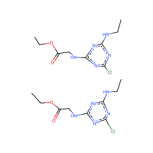 CCNc1nc(Cl)nc(NCC(=O)OCC)n1.CCNc1nc(Cl)nc(NCC(=O)OCC)n1